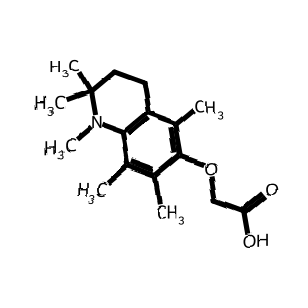 Cc1c(C)c2c(c(C)c1OCC(=O)O)CCC(C)(C)N2C